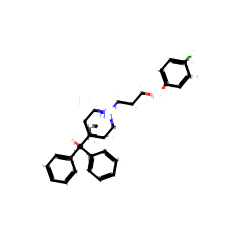 OC(c1ccccc1)(c1ccccc1)C12CC[N+](CCCOc3ccc(F)cc3)(CC1)CC2.[Br-]